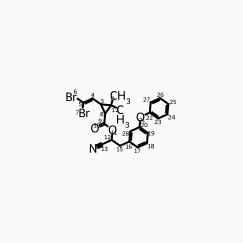 CC1(C)C(C=C(Br)Br)C1C(=O)OC(C#N)Cc1cccc(Oc2ccccc2)c1